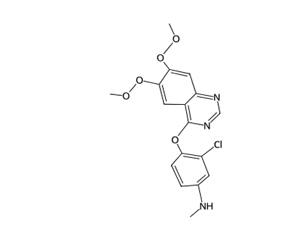 CNc1ccc(Oc2ncnc3cc(OOC)c(OOC)cc23)c(Cl)c1